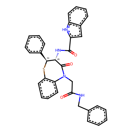 O=C(CN1C(=O)[C@@H](NC(=O)c2cc3ccccc3[nH]2)[C@H](c2ccccc2)Sc2ccccc21)NCc1ccccc1